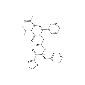 CC(=O)N1C=C(c2ccccc2)N(CC(=O)N[C@@H](Cc2ccccc2)C(=O)C2=CCCO2)C(=O)C1C(C)C